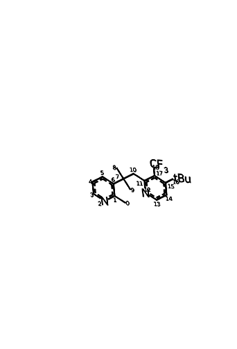 Cc1ncccc1C(C)(C)Cc1nccc(C(C)(C)C)c1C(F)(F)F